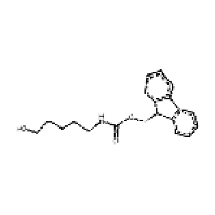 O=C(NCCCCCO)OCC1c2ccccc2-c2ccccc21